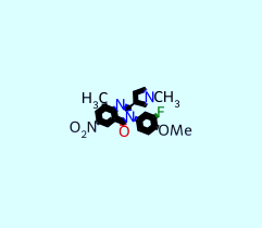 COc1ccc(-n2c([C@H]3CCN(C)C3)nc3c(C)cc([N+](=O)[O-])cc3c2=O)cc1F